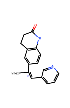 CCCCCC/C(=C/c1cccnc1)c1ccc2c(c1)CCC(=O)N2